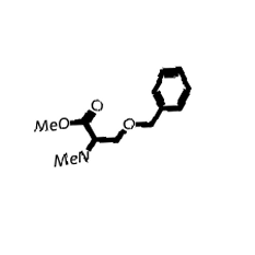 CNC(COCc1ccccc1)C(=O)OC